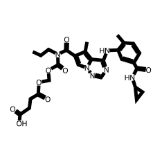 CCCN(C(=O)OCOC(=O)CCC(=O)O)C(=O)c1cn2ncnc(Nc3cc(C(=O)NC4CC4)ccc3C)c2c1C